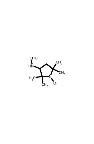 CC1(C)CC(NC=O)C(C)(C)N1[O]